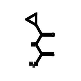 NC(=S)NC(=O)C1CC1